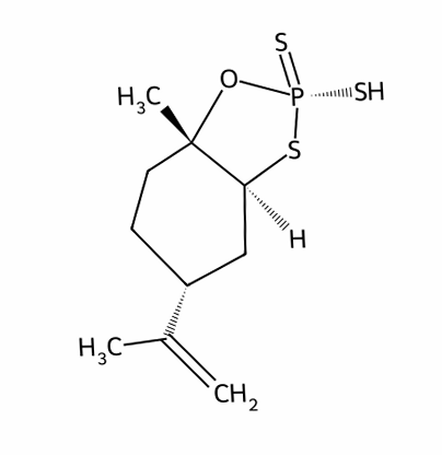 C=C(C)[C@@H]1CC[C@]2(C)O[P@](=S)(S)S[C@H]2C1